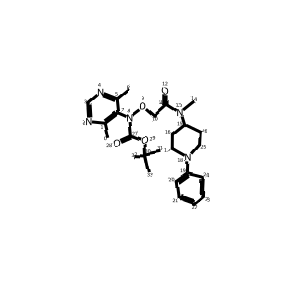 Cc1ncnc(C)c1N(OCC(=O)N(C)C1CCN(c2ccccc2)CC1)C(=O)OC(C)(C)C